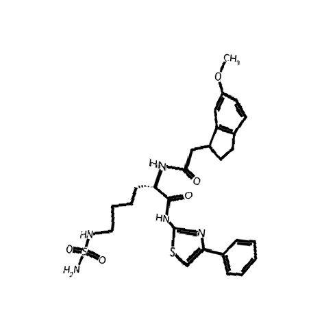 COc1ccc2c(c1)C(CC(=O)N[C@@H](CCCCNS(N)(=O)=O)C(=O)Nc1nc(-c3ccccc3)cs1)CC2